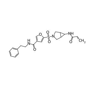 C=CC(=O)NC1C2CN(S(=O)(=O)c3cc(C(=O)NCCc4ccccc4)co3)CC21